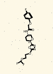 O=C(COc1ccc(F)cc1)N[C@H]1CC[C@H](c2nnc(OCCOC(F)F)o2)OC1